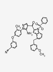 COc1cccc(Cc2cccc3c2cc(C(=O)c2cnn(-c4ccc(Oc5cccc(C#N)c5)cc4C)c2N)n3S(=O)(=O)c2ccccc2)c1